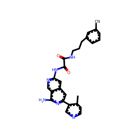 Cc1ccncc1-c1cc2cc(NC(=O)C(=O)NCCCc3cccc(C#N)c3)ncc2c(N)n1